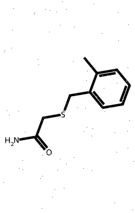 Cc1ccccc1CSCC(N)=O